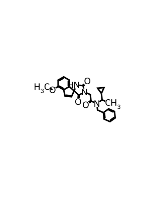 COc1cccc2c1C=CC21NC(=O)N(CC(=O)N(Cc2ccccc2)C(C)C2CC2)C1=O